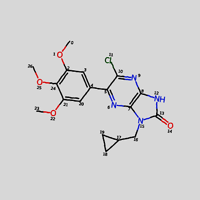 COc1cc(-c2nc3c(nc2Cl)[nH]c(=O)n3CC2CC2)cc(OC)c1OC